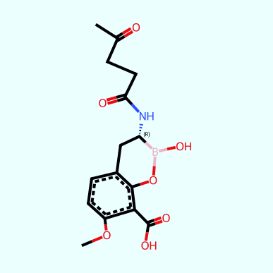 COc1ccc2c(c1C(=O)O)OB(O)[C@@H](NC(=O)CCC(C)=O)C2